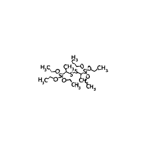 CCO[Si](OCC)(OCC)C(C)SSC(C)[Si](OCC)(OCC)OCC